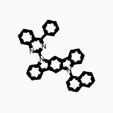 c1ccc(-c2nc(-n3c4ccccc4c4cc5c(cc43)c3ccccc3n5-c3cccc4ccccc34)nc3ccccc23)cc1